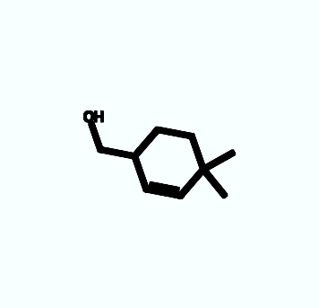 CC1(C)C=CC(CO)CC1